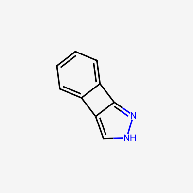 c1ccc2c(c1)-c1c[nH]nc1-2